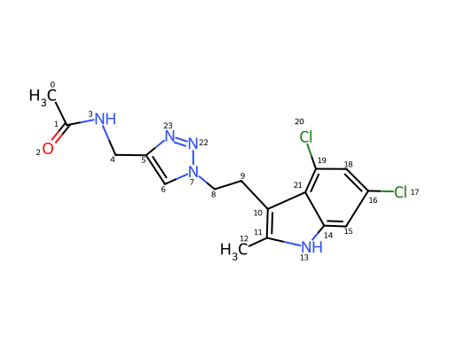 CC(=O)NCc1cn(CCc2c(C)[nH]c3cc(Cl)cc(Cl)c23)nn1